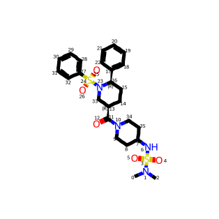 CN(C)S(=O)(=O)NC1CCN(C(=O)[C@@H]2CC[C@H](c3ccccc3)N(S(=O)(=O)c3ccccc3)C2)CC1